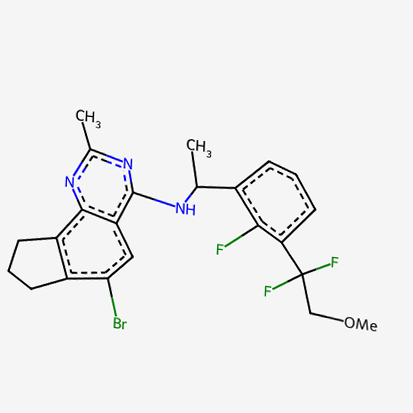 COCC(F)(F)c1cccc(C(C)Nc2nc(C)nc3c4c(c(Br)cc23)CCC4)c1F